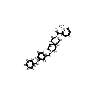 O=C(c1cccc[n+]1[O-])N1CCC2(CCN(Cc3cccc(Oc4ccccc4)c3)CC2)CC1